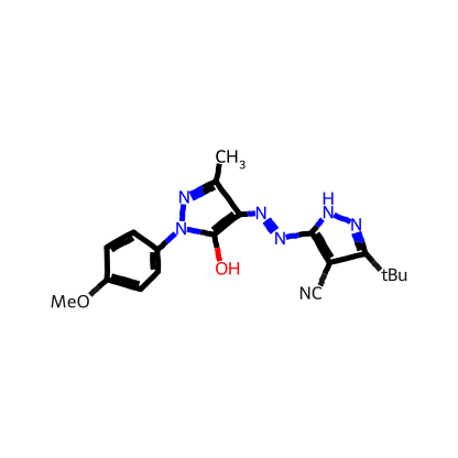 COc1ccc(-n2nc(C)c(/N=N/c3[nH]nc(C(C)(C)C)c3C#N)c2O)cc1